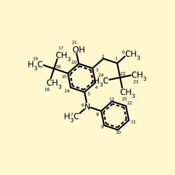 CC(Cc1cc(N(C)c2ccccc2)cc(C(C)(C)C)c1O)C(C)(C)C